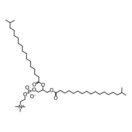 CC(C)CCCCCCCCCCCCCCC(=O)OCC(COP(=O)([O-])OCC[N+](C)(C)C)OC(=O)CCCCCCCCCCCCCCC(C)C